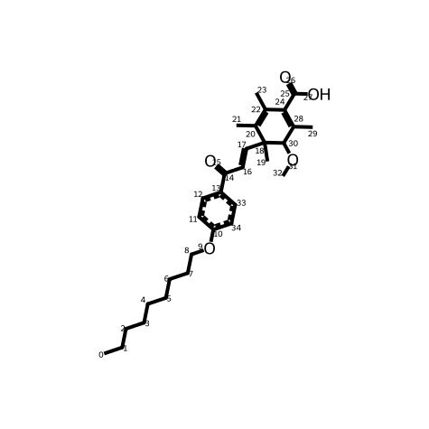 CCCCCCCCCOc1ccc(C(=O)C=CC2(C)C(C)=C(C)C(C(=O)O)=C(C)C2OC)cc1